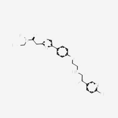 CCN(CC(F)(F)F)C(=O)Cc1nc(-c2ccc(OCCNC[C@@H](O)c3ccc(Cl)nc3)cc2)co1